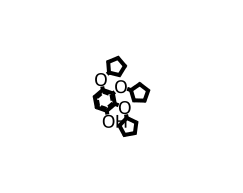 Oc1ccc(OC2CCCC2)c(OC2CCCC2)c1OC1CCCC1